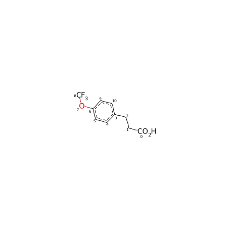 O=C(O)CCc1ccc(OC(F)(F)F)cc1